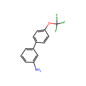 Nc1cccc(-c2ccc(OC(F)(F)F)cc2)c1